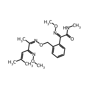 CNC(=O)C(=NOC)c1ccccc1CON=C(C)C(C=C(C)C)=NOC